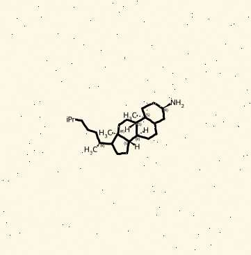 CC(C)CCC[C@@H](C)C1CC[C@H]2[C@@H]3CCC4C[C@H](N)CC[C@]4(C)[C@H]3CC[C@]12C